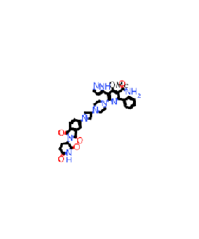 COc1c(C(N)=O)c(-c2ccccc2)nc(N2CCN(C3CN(c4ccc5c(c4)C(=O)N(C4CCC(=O)NC4=O)C5=O)C3)CC2)c1-c1ccn[nH]1